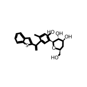 C=C(c1cc2ccccc2s1)c1cc([C@@H]2O[C@H](CO)C[C@H](O)[C@H]2O)c(O)cc1C